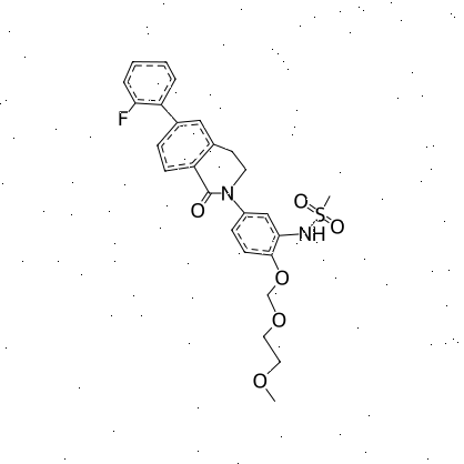 COCCOCOc1ccc(N2CCc3cc(-c4ccccc4F)ccc3C2=O)cc1NS(C)(=O)=O